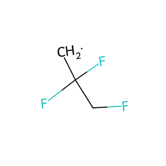 [CH2]C(F)(F)CF